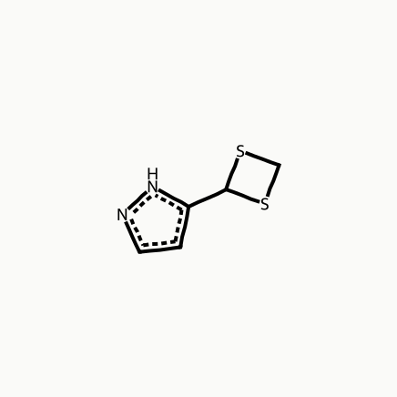 c1cc(C2SCS2)[nH]n1